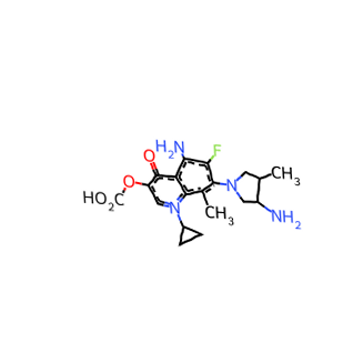 Cc1c(N2CC(C)C(N)C2)c(F)c(N)c2c(=O)c(OC(=O)O)cn(C3CC3)c12